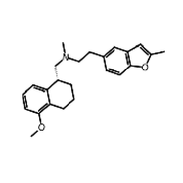 COc1cccc2c1CCC[C@H]2CN(C)CCc1ccc2oc(C)cc2c1